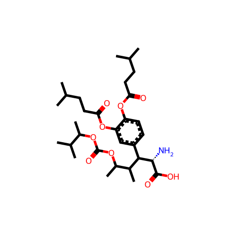 CC(C)CCC(=O)Oc1ccc(C(C(C)C(C)OC(=O)OC(C)C(C)C)[C@H](N)C(=O)O)cc1OC(=O)CCC(C)C